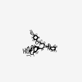 CC[C@@H](Cc1cccc(CN(CCCOc2ccc(OC)cc2)c2nc3ccccc3o2)c1)C(=O)O